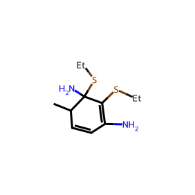 CCSC1=C(N)C=CC(C)C1(N)SCC